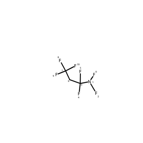 FN(F)C(F)(F)CC(F)(F)F